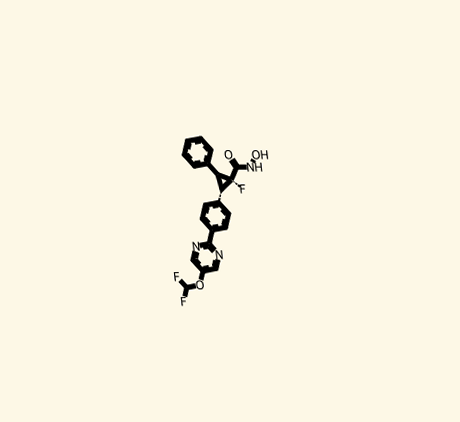 O=C(NO)[C@]1(F)C(c2ccccc2)[C@H]1c1ccc(-c2ncc(OC(F)F)cn2)cc1